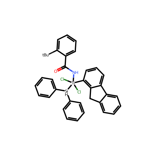 CC(C)(C)c1ccccc1C(=O)[NH][Ti]([Cl])([Cl])([c]1cccc2c1Cc1ccccc1-2)[SiH](c1ccccc1)c1ccccc1